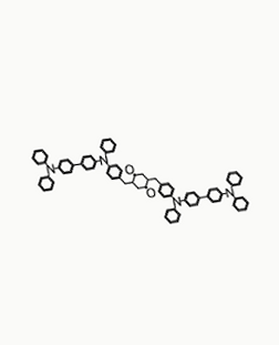 O=C1CC(Cc2ccc(N(c3ccccc3)c3ccc(-c4ccc(N(c5ccccc5)c5ccccc5)cc4)cc3)cc2)C(=O)CC1Cc1ccc(N(c2ccccc2)c2ccc(-c3ccc(N(c4ccccc4)c4ccccc4)cc3)cc2)cc1